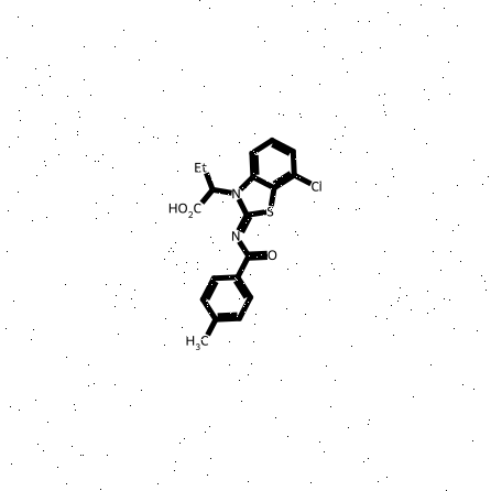 CCC(C(=O)O)n1/c(=N/C(=O)c2ccc(C)cc2)sc2c(Cl)cccc21